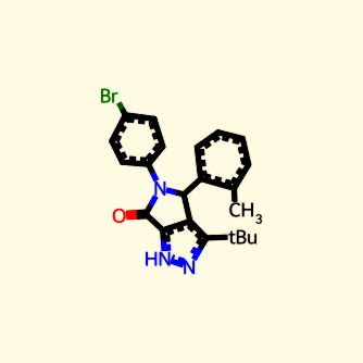 Cc1ccccc1C1c2c(C(C)(C)C)n[nH]c2C(=O)N1c1ccc(Br)cc1